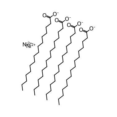 CCCCCCCCCCCCCCCC(=O)[O-].CCCCCCCCCCCCCCCC(=O)[O-].CCCCCCCCCCCCCCCC(=O)[O-].CCCCCCCCCCCCCCCC(=O)[O-].[Ni+2].[Ni+2]